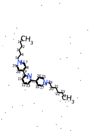 CCCCCC[n+]1ccc(-c2cccc(-c3cc[n+](CCCCCC)cc3)n2)cc1